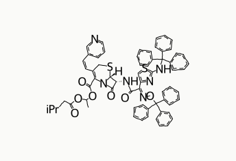 CC(C)CC(=O)OC(C)OC(=O)C1=C(/C=C\c2cccnc2)CS[C@@H]2[C@H](NC(=O)/C(=N/OC(c3ccccc3)(c3ccccc3)c3ccccc3)c3csc(NC(c4ccccc4)(c4ccccc4)c4ccccc4)n3)C(=O)N12